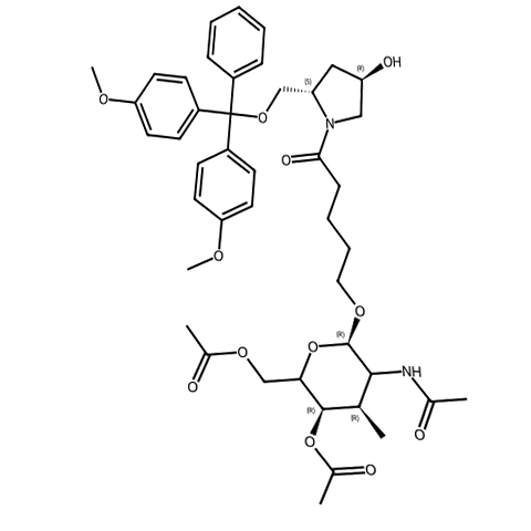 COc1ccc(C(OC[C@@H]2C[C@@H](O)CN2C(=O)CCCCO[C@@H]2OC(COC(C)=O)[C@H](OC(C)=O)[C@H](C)C2NC(C)=O)(c2ccccc2)c2ccc(OC)cc2)cc1